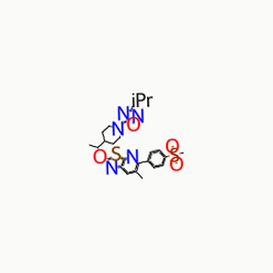 Cc1cc2nc(OC(C)C3CCN(c4nc(C(C)C)no4)CC3)sc2nc1-c1ccc(S(C)(=O)=O)cc1